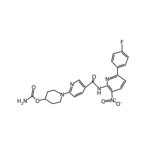 NC(=O)OC1CCN(c2ccc(C(=O)Nc3nc(-c4ccc(F)cc4)ccc3[N+](=O)[O-])cn2)CC1